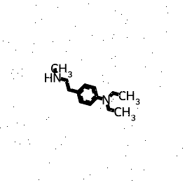 CCN(CC)c1ccc(CCNC)cc1